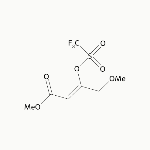 COCC(=CC(=O)OC)OS(=O)(=O)C(F)(F)F